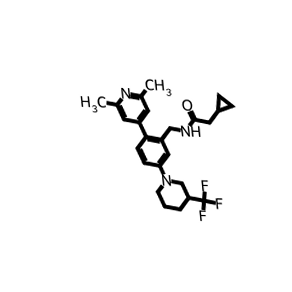 Cc1cc(-c2ccc(N3CCCC(C(F)(F)F)C3)cc2CNC(=O)CC2CC2)cc(C)n1